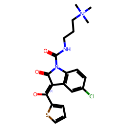 C[N+](C)(C)CCCNC(=O)N1C(=O)/C(=C(\[O-])c2cccs2)c2cc(Cl)ccc21